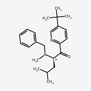 CC(C)C[C@H](C(=O)c1ccc(C(C)(C)C)cn1)N(C)Cc1ccccc1